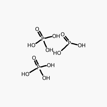 O=P(O)(O)O.O=P(O)(O)O.O=[P](O)O